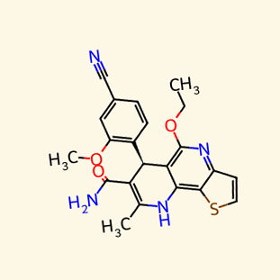 CCOc1nc2ccsc2c2c1[C@H](c1ccc(C#N)cc1OC)C(C(N)=O)=C(C)N2